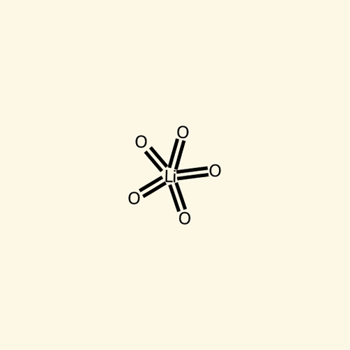 [O]=[Li](=[O])(=[O])(=[O])=[O]